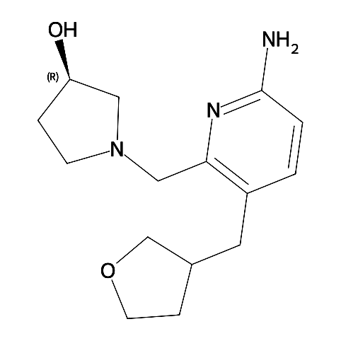 Nc1ccc(CC2CCOC2)c(CN2CC[C@@H](O)C2)n1